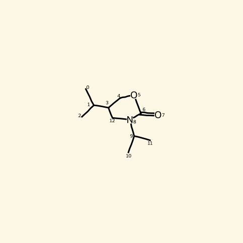 CC(C)C1COC(=O)N(C(C)C)C1